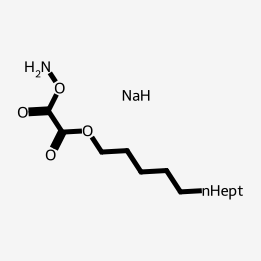 CCCCCCCCCCCCOC(=O)C(=O)ON.[NaH]